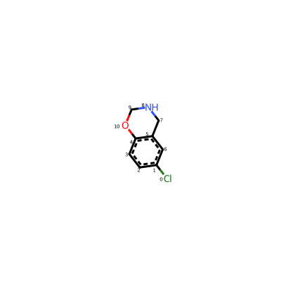 Clc1ccc2c(c1)CNCO2